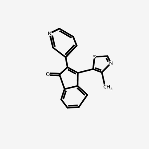 Cc1ncsc1C1=C(c2cccnc2)C(=O)c2ccccc21